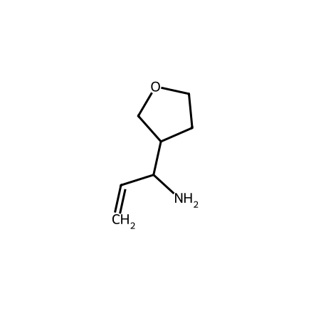 C=CC(N)C1CCOC1